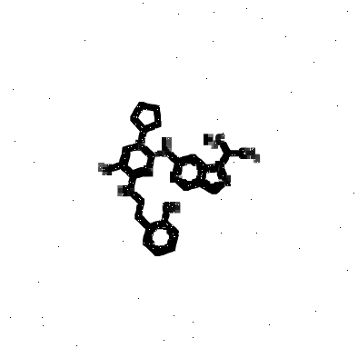 [2H]C1=CN(C2CCCC2)[C@H](Nc2cc3c(cn2)cnn3C(C)C)N=C1NCCc1ccccc1O